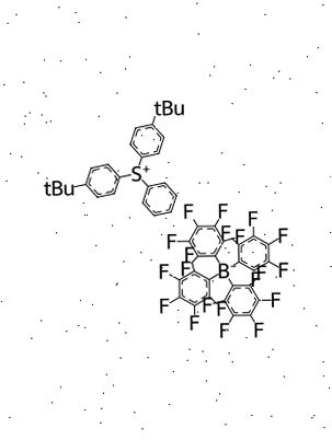 CC(C)(C)c1ccc([S+](c2ccccc2)c2ccc(C(C)(C)C)cc2)cc1.Fc1c(F)c(F)c([B-](c2c(F)c(F)c(F)c(F)c2F)(c2c(F)c(F)c(F)c(F)c2F)c2c(F)c(F)c(F)c(F)c2F)c(F)c1F